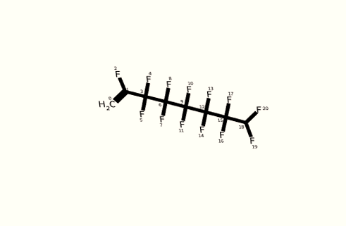 C=C(F)C(F)(F)C(F)(F)C(F)(F)C(F)(F)C(F)(F)C(F)F